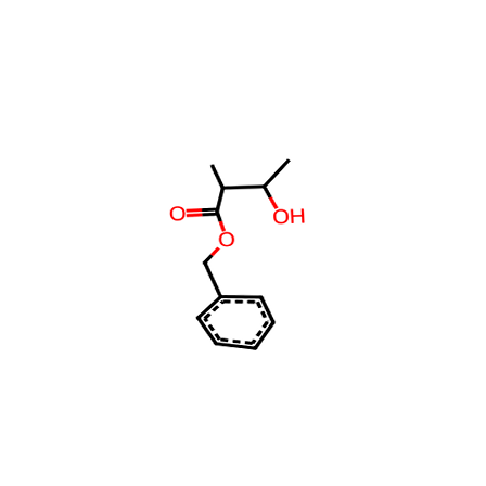 CC(O)C(C)C(=O)OCc1ccccc1